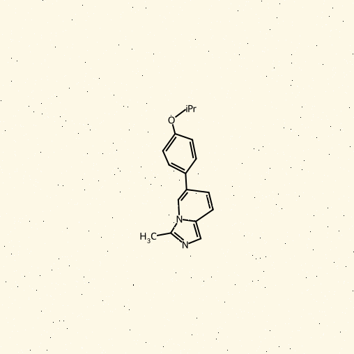 Cc1ncc2ccc(-c3ccc(OC(C)C)cc3)cn12